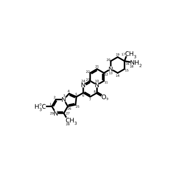 Cc1cn2cc(-c3cc(=O)n4cc(N5CCC(C)(N)CC5)ccc4n3)cc2c(C)n1